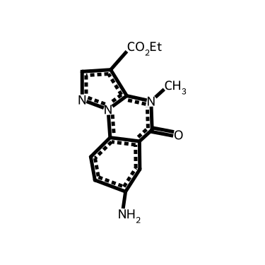 CCOC(=O)c1cnn2c3ccc(N)cc3c(=O)n(C)c12